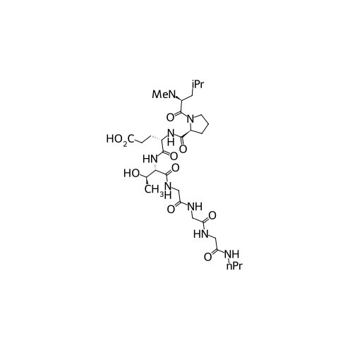 CCCNC(=O)CNC(=O)CNC(=O)CNC(=O)[C@@H](NC(=O)[C@H](CCC(=O)O)NC(=O)[C@@H]1CCCN1C(=O)[C@H](CC(C)C)NC)[C@@H](C)O